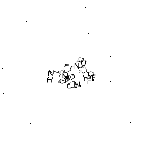 CNCc1cn(S(=O)(=O)c2cccnc2)c2cc(N(C=O)c3ccc(OC(F)(F)F)cc3OC)ccc12